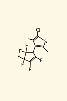 Cc1sc(Cl)c(C)c1C1C(F)=C(F)C(F)(F)C1(F)F